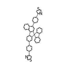 c1ccc2c(c1)-c1ccccc1C21c2cc(-c3ccc(-c4cscn4)cc3)ccc2-c2c1cc(-c1ccc(-c3cscn3)cc1)c1ccccc21